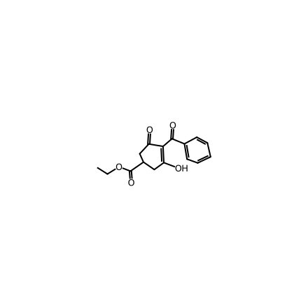 CCOC(=O)C1CC(=O)C(C(=O)c2ccccc2)=C(O)C1